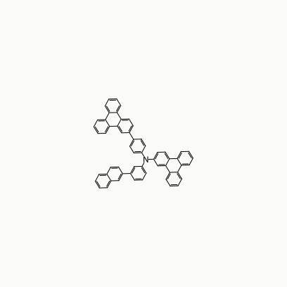 c1cc(-c2ccc3ccccc3c2)cc(N(c2ccc(-c3ccc4c5ccccc5c5ccccc5c4c3)cc2)c2ccc3c4ccccc4c4ccccc4c3c2)c1